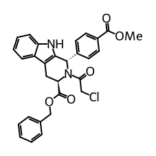 COC(=O)c1ccc([C@H]2c3[nH]c4ccccc4c3C[C@H](C(=O)OCc3ccccc3)N2C(=O)CCl)cc1